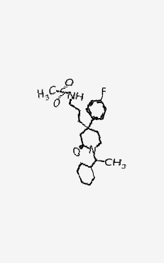 C[C@@H](C1CCCCC1)N1CC[C@@](CCCNS(C)(=O)=O)(c2ccc(F)cc2)CC1=O